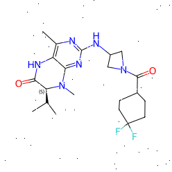 Cc1nc(NC2CN(C(=O)C3CCC(F)(F)CC3)C2)nc2c1NC(=O)[C@H](C(C)C)N2C